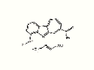 CC(C)Nc1cccc2c3cccc(C(=O)C(C)C)cc-3nc12.O=C(O)C=CC(=O)O